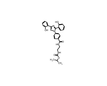 CC(C)OC(=O)NCCNC(=O)c1ccc(-n2nc(-c3ccccc3O)nc2-c2ccccc2O)cc1